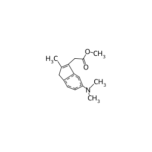 COC(=O)CC1=C(C)Cc2ccc(N(C)C)cc21